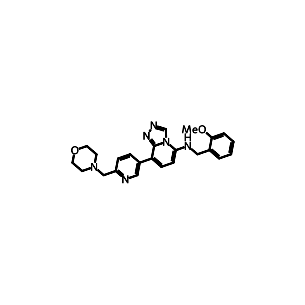 COc1ccccc1CNc1ccc(-c2ccc(CN3CCOCC3)nc2)c2nncn12